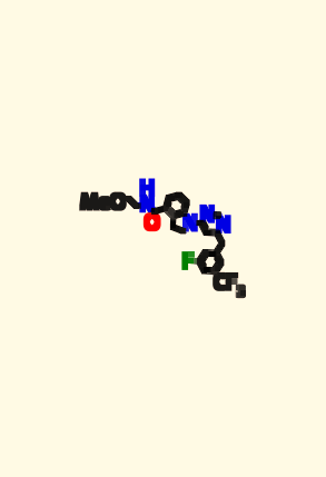 COCCNC(=O)c1cccc2c1CCN2c1cc(Cc2cc(F)cc(C(F)(F)F)c2)ncn1